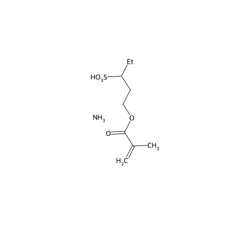 C=C(C)C(=O)OCCC(CC)S(=O)(=O)O.N